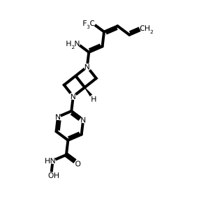 C=C/C=C(\C=C(/N)N1C[C@H]2C1CN2c1ncc(C(=O)NO)cn1)C(F)(F)F